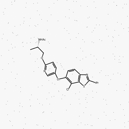 CC(=O)N[C@@H](C)COc1ccc(Oc2ccc3nc(C(C)C)sc3c2Cl)cn1